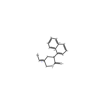 O=C1OC/C(=C/Br)CC1c1cccc2ccccc12